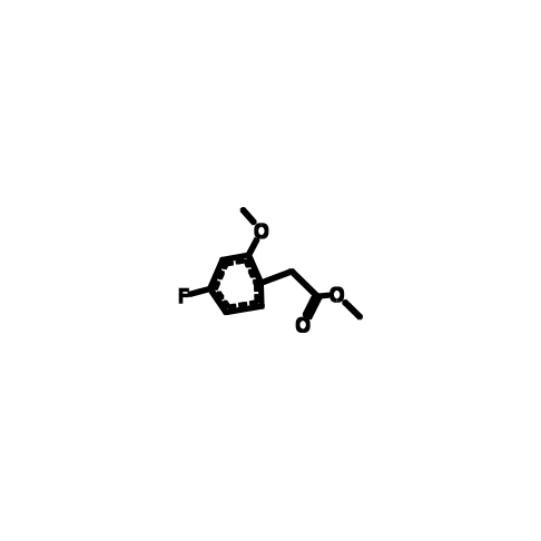 COC(=O)Cc1ccc(F)cc1OC